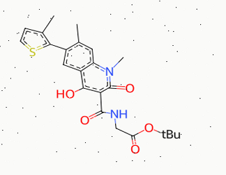 Cc1cc2c(cc1-c1sccc1C)c(O)c(C(=O)NCC(=O)OC(C)(C)C)c(=O)n2C